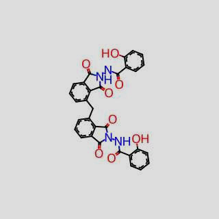 O=C(NN1C(=O)c2cccc(Cc3cccc4c3C(=O)N(NC(=O)c3ccccc3O)C4=O)c2C1=O)c1ccccc1O